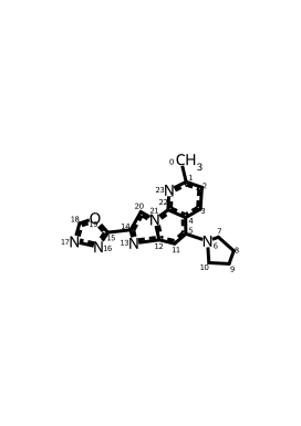 Cc1ccc2c(N3CCCC3)cc3nc(-c4nnco4)cn3c2n1